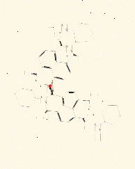 N[C@@H]1CCCCC1N1C(=O)c2ccc3c4c(ccc(c24)C1=O)C(=O)N([C@@H]1CCCCC1N1C(=O)c2ccc4c5c(ccc(c25)C1=O)C(=O)N([C@@H]1CCCC[C@H]1N)C4=O)C3=O